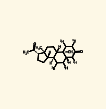 [2H]C1C(=O)C([2H])[C@]2([2H])C([2H])C([2H])[C@H]3[C@@H]4CC[C@H](C(C)=O)[C@@]4(C)CC[C@@H]3[C@@]2(C)C1[2H]